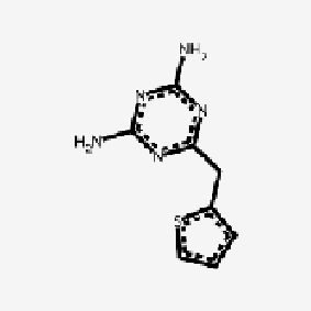 Nc1nc(N)nc(Cc2cccs2)n1